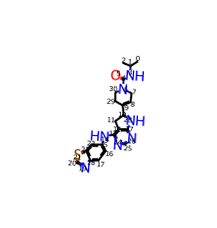 CC(C)NC(=O)N1CC=C(C2Cc3c(Nc4ccc5ncsc5c4)ncnc3N2)CC1